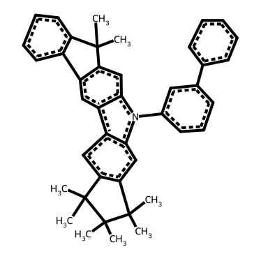 CC1(C)c2ccccc2-c2cc3c4cc5c(cc4n(-c4cccc(-c6ccccc6)c4)c3cc21)C(C)(C)C(C)(C)C5(C)C